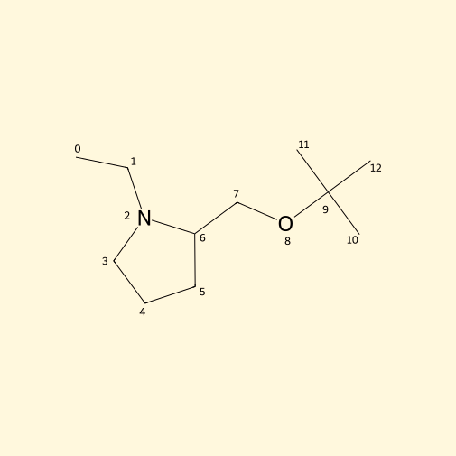 CCN1CCCC1COC(C)(C)C